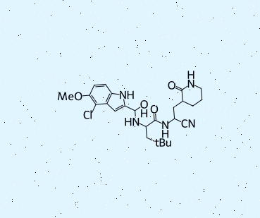 COc1ccc2[nH]c(C(O)NC(CC(C)(C)C)C(=O)NC(C#N)CC3CCCNC3=O)cc2c1Cl